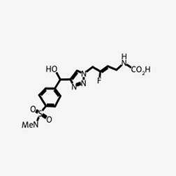 CNS(=O)(=O)c1ccc(C(O)c2cn(CC(F)=CCNC(=O)O)nn2)cc1